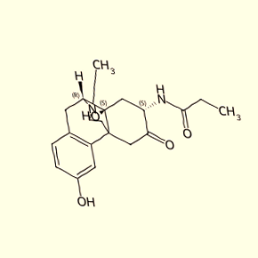 CCC(=O)N[C@H]1C[C@@]2(O)[C@H]3Cc4ccc(O)cc4C2(CCN3C)CC1=O